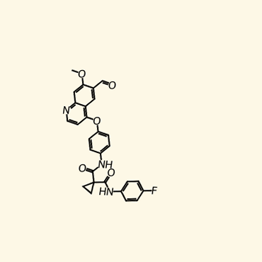 COc1cc2nccc(Oc3ccc(NC(=O)C4(C(=O)Nc5ccc(F)cc5)CC4)cc3)c2cc1C=O